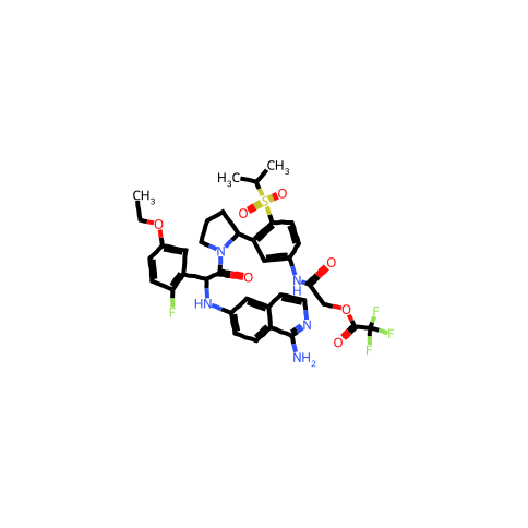 CCOc1ccc(F)c(C(Nc2ccc3c(N)nccc3c2)C(=O)N2CCCC2c2cc(NC(=O)COC(=O)C(F)(F)F)ccc2S(=O)(=O)C(C)C)c1